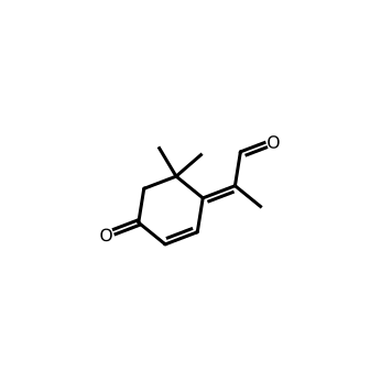 CC(C=O)=C1C=CC(=O)CC1(C)C